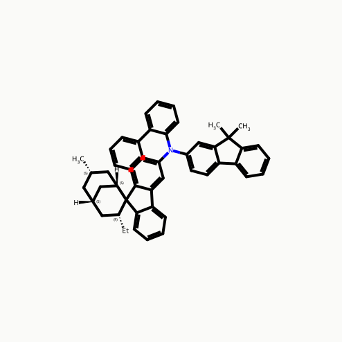 CC[C@@H]1C[C@@H]2C[C@H](C)C[C@@H](C2)C12c1ccccc1-c1cc(N(c3ccc4c(c3)C(C)(C)c3ccccc3-4)c3ccccc3-c3ccccc3)ccc12